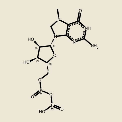 CN1CN([C@@H]2O[C@H](CO[PH](=O)O[PH](=O)O)[C@@H](O)[C@H]2O)c2nc(N)[nH]c(=O)c21